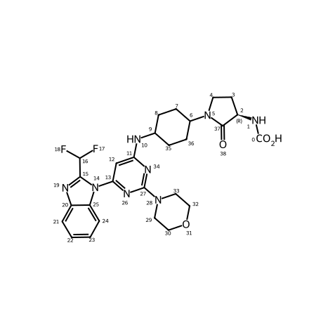 O=C(O)N[C@@H]1CCN(C2CCC(Nc3cc(-n4c(C(F)F)nc5ccccc54)nc(N4CCOCC4)n3)CC2)C1=O